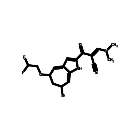 CN(C)/C=C(\C#N)C(=O)c1cc2c([nH]1)=CC(Br)CC(OCC(F)F)C=2